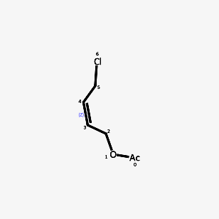 CC(=O)OC/C=C\CCl